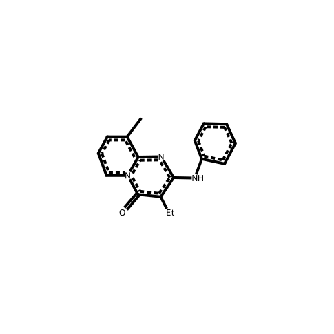 CCc1c(Nc2ccccc2)nc2c(C)cccn2c1=O